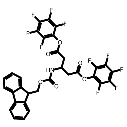 O=C(CC(CC(=O)Oc1c(F)c(F)c(F)c(F)c1F)NC(=O)OCC1c2ccccc2-c2ccccc21)Oc1c(F)c(F)c(F)c(F)c1F